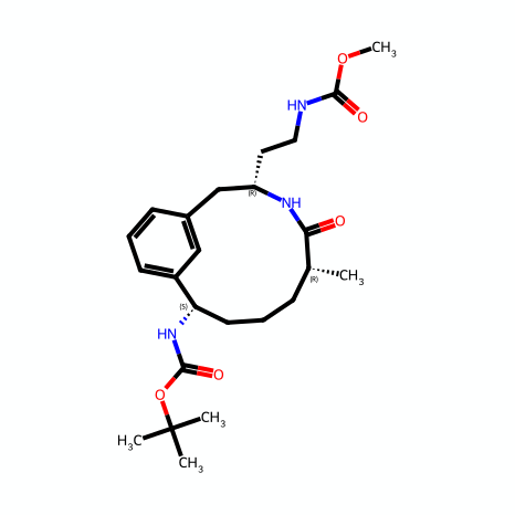 COC(=O)NCC[C@H]1Cc2cccc(c2)[C@@H](NC(=O)OC(C)(C)C)CCC[C@@H](C)C(=O)N1